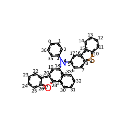 c1ccc(N(c2ccc3sc4ccccc4c3c2)c2cc3c4ccccc4oc3c3ccccc23)cc1